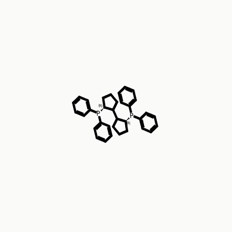 c1ccc(P(c2ccccc2)[C@@H]2CCCC2C2CCC[C@H]2P(c2ccccc2)c2ccccc2)cc1